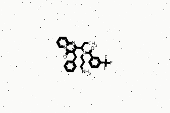 CCC(c1nc2ccccn2c(=O)c1Cc1ccccc1)N(CCCN)C(=O)c1cccc(C(F)(F)F)c1